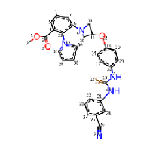 COC(=O)c1cccc(N2CC(Oc3ccc(NC(=S)Nc4cccc(C#N)c4)cc3)C2)c1-n1cccc1